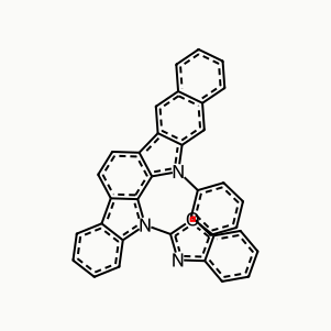 c1ccc(-n2c3cc4ccccc4cc3c3ccc4c5ccccc5n(-c5nc6ccccc6o5)c4c32)cc1